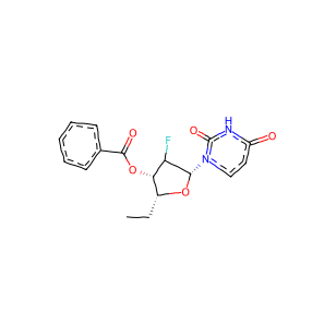 CC[C@H]1O[C@@H](n2ccc(=O)[nH]c2=O)C(F)[C@H]1OC(=O)c1ccccc1